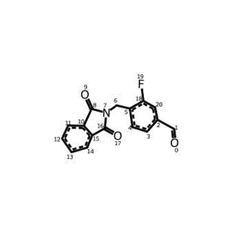 O=Cc1ccc(CN2C(=O)c3ccccc3C2=O)c(F)c1